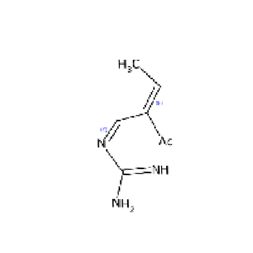 C/C=C(\C=N/C(=N)N)C(C)=O